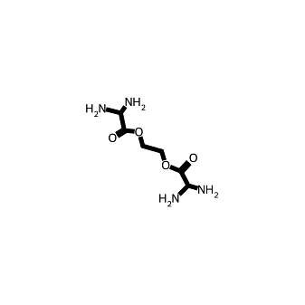 NC(N)C(=O)OCCOC(=O)C(N)N